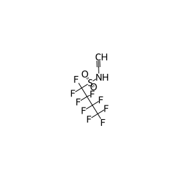 C#CNS(=O)(=O)C(F)(F)C(F)(F)C(F)(F)C(F)(F)F